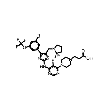 C[C@@H]1CCCN1Cc1sc(Nc2ncnc(N3CCN(CCC(=O)O)CC3)c2F)nc1-c1cc(Cl)cc(OC(F)(F)F)c1